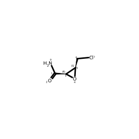 NC(=O)[C@@H]1O[C@@H]1CCl